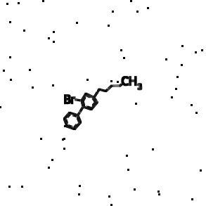 CCCCCc1ccc(-c2ccccc2)c(Br)c1